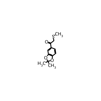 CSCC(=O)c1ccc2c(c1)OC(C)(C)O2